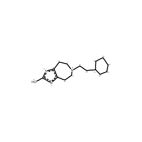 Oc1nc2c(s1)CCN(CCC1CCCCC1)CC2